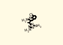 CC(c1nc(N)nc(N)n1)c1cc2cccc(Cl)c2nc1N